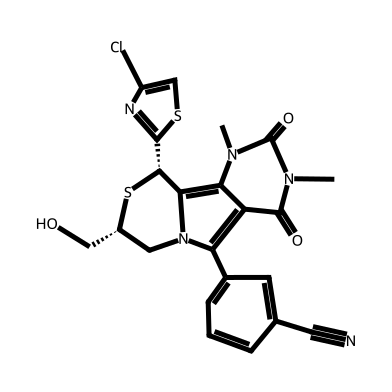 Cn1c(=O)c2c(-c3cccc(C#N)c3)n3c(c2n(C)c1=O)[C@@H](c1nc(Cl)cs1)S[C@@H](CO)C3